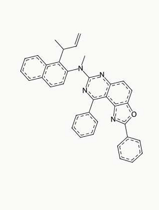 C=CC(C)c1c(N(C)c2nc(-c3ccccc3)c3c(ccc4oc(-c5ccccc5)nc43)n2)ccc2ccccc12